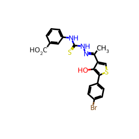 C/C(=N\NC(=S)Nc1cccc(C(=O)O)c1)c1csc(-c2ccc(Br)cc2)c1O